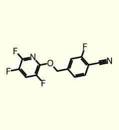 N#Cc1ccc(COc2nc(F)c(F)cc2F)cc1F